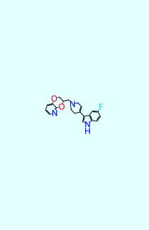 Fc1ccc2[nH]cc(C3=CCN(CC4COc5cccnc5O4)CC3)c2c1